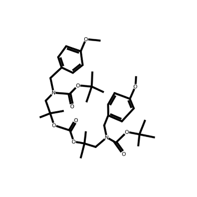 COc1ccc(CN(CC(C)(C)OC(=O)OC(C)(C)CN(Cc2ccc(OC)cc2)C(=O)OC(C)(C)C)C(=O)OC(C)(C)C)cc1